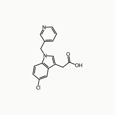 O=C(O)Cc1cn(Cc2cccnc2)c2ccc(Cl)cc12